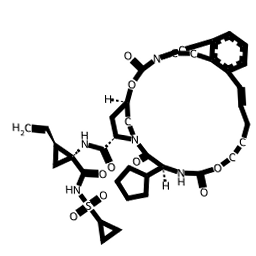 C=C[C@@H]1C[C@]1(NC(=O)[C@@H]1C[C@@H]2CN1C(=O)[C@H](C1CCCC1)NC(=O)OCCC/C=C/c1cccc3c1CCN(C3)C(=O)O2)C(=O)NS(=O)(=O)C1CC1